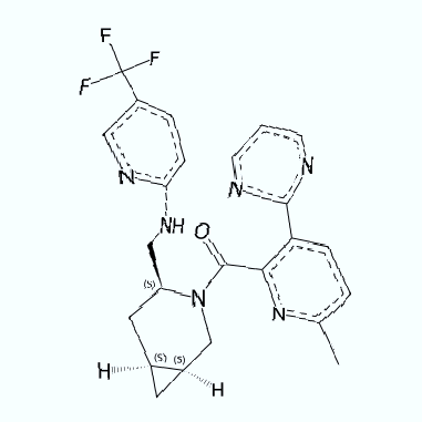 Cc1ccc(-c2ncccn2)c(C(=O)N2C[C@H]3C[C@H]3C[C@H]2CNc2ccc(C(F)(F)F)cn2)n1